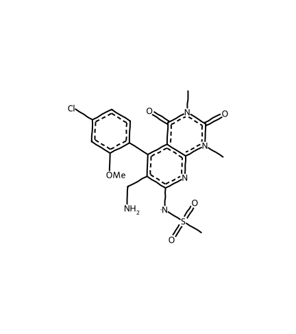 COc1cc(Cl)ccc1-c1c(CN)c([N]S(C)(=O)=O)nc2c1c(=O)n(C)c(=O)n2C